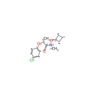 CC(Oc1ccc(Cl)cc1)C(=O)N(C)OC1CCC1